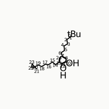 CC(C)(C)CCCCCCc1cc(O)c(O)c(CCCCCCC2(C)CC2)c1